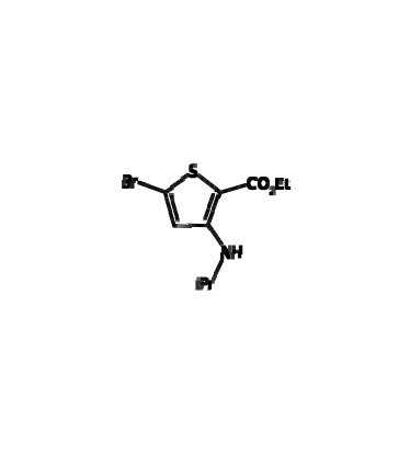 CCOC(=O)c1sc(Br)cc1NC(C)C